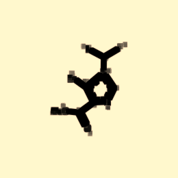 COC(=O)c1ncn(C(F)F)c1Br